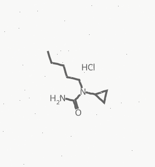 CCCCCN(C(N)=O)C1CC1.Cl